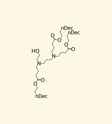 CCCCCCCCCCCCOC(=O)CCCN(CCO)CCCN(CCCC(=O)OCCCCCCCCCCCC)CCCC(=O)OCCCCCCCCCCCC